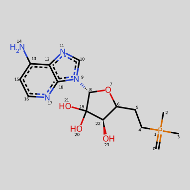 C=P(C)(C)CCC1O[C@@H](n2cnc3c(N)ccnc32)C(O)(O)[C@@H]1O